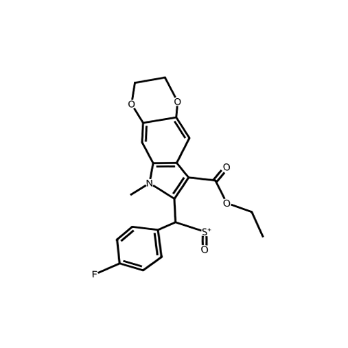 CCOC(=O)c1c(C([S+]=O)c2ccc(F)cc2)n(C)c2cc3c(cc12)OCCO3